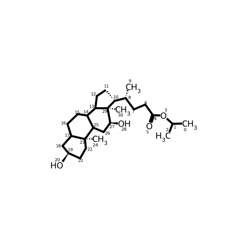 CC(C)OC(=O)CC[C@@H](C)[C@H]1CCC2C3CCC4C[C@H](O)CC[C@]4(C)C3C[C@H](O)[C@@]21C